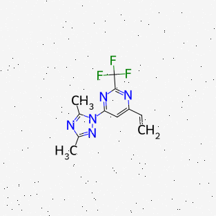 C=Cc1cc(-n2nc(C)nc2C)nc(C(F)(F)F)n1